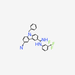 N#Cc1ccc2c(c1)c1cc(C(=N)Nc3cccc(C(F)(F)F)c3)ccc1n2Cc1ccccc1